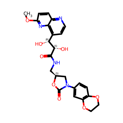 COc1ccc2nccc([C@@H](O)[C@H](O)C(=O)NC[C@H]3CN(c4ccc5c(c4)OCCO5)C(=O)O3)c2n1